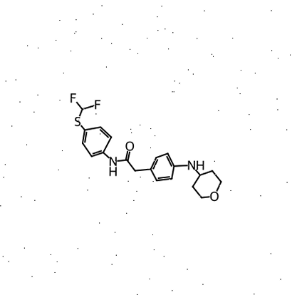 O=C(Cc1ccc(NC2CCOCC2)cc1)Nc1ccc(SC(F)F)cc1